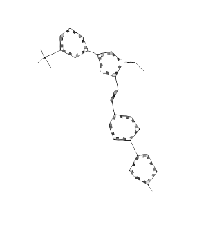 CCn1cc(-c2cccc(C(F)(F)F)c2)nc1C=Cc1ccc(-c2ccc(O)cc2)cc1